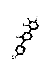 CCc1ccc(-c2ccc(-c3ccc(F)c(C)c3F)cc2F)cc1